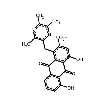 Cc1nc(C)c(Cc2c(C(=O)O)cc(O)c3c2C(=O)c2cccc(O)c2C3=O)nc1C